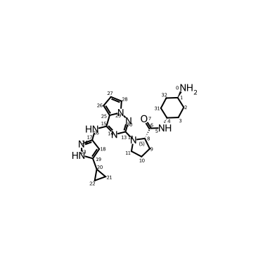 N[C@H]1CC[C@H](NC(=O)[C@@H]2CCCN2c2nc(Nc3cc(C4CC4)[nH]n3)c3cccn3n2)CC1